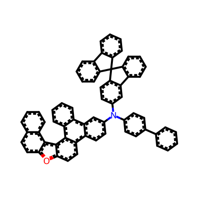 c1ccc(-c2ccc(N(c3ccc4c(c3)-c3ccccc3C43c4ccccc4-c4ccccc43)c3ccc4c(c3)c3ccccc3c3c4ccc4oc5ccc6ccccc6c5c43)cc2)cc1